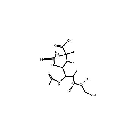 CC(=O)NC(C(NC(=N)N)C(F)C(O)(F)C(=O)O)C(C)[C@H](O)[C@H](O)CO